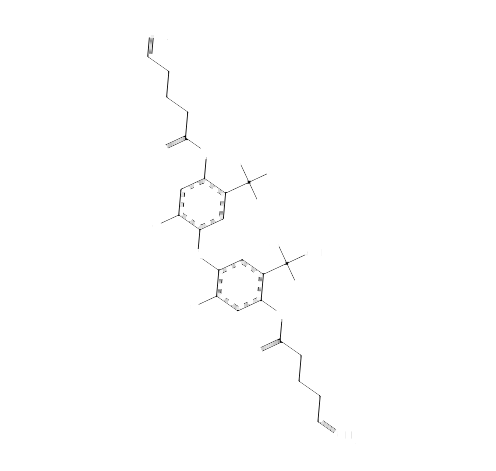 C=CCCCC(=S)Oc1cc(C)c(Sc2cc(C(C)(C)C)c(OC(=S)CCCC=C)cc2C)cc1C(C)(C)C